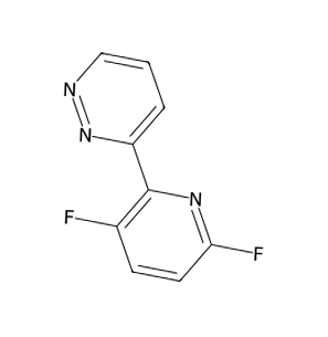 Fc1ccc(F)c(-c2cccnn2)n1